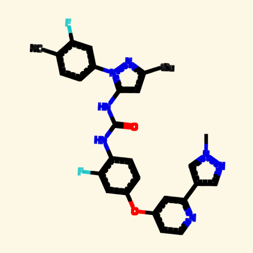 Cn1cc(-c2cc(Oc3ccc(NC(=O)Nc4cc(C(C)(C)C)nn4-c4ccc(C#N)c(F)c4)c(F)c3)ccn2)cn1